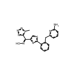 Cn1nnnc1C(=NO)c1csc(-c2ccccc2Cc2cccc(N)n2)n1